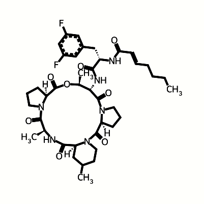 CCCC/C=C/C(=O)N[C@@H](Cc1cc(F)cc(F)c1)C(=O)N[C@@H]1C(=O)N2CCC[C@H]2C(=O)N2CCC(C)C[C@H]2C(=O)N[C@@H](C)C(=O)N2CCC[C@H]2C(=O)O[C@H]1C